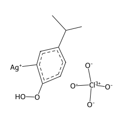 CC(C)c1ccc(OO)[c]([Ag+])c1.[O-][Cl+3]([O-])([O-])[O-]